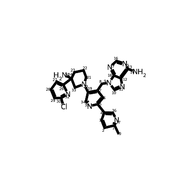 Cc1ccc(-c2cc(Cn3cnc4c(N)ncnc43)c(N3CCCC(N)(c4cccc(Cl)n4)C3)cn2)cn1